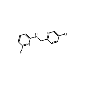 Fc1cccc(NCc2ccc(Cl)cn2)n1